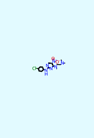 CN(C)CCN(C)c1nc(Nc2ccc(Cl)cc2)ncc1[N+](=O)[O-]